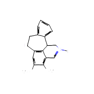 CC[N+]1=Cc2c(OC)c(OC)cc3c2C(C1)c1ccccc1CC3.[I-]